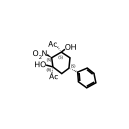 CC(=O)[C@]1(O)C[C@H](c2ccccc2)C[C@](O)(C(C)=O)[C@H]1[N+](=O)[O-]